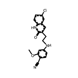 COc1cc(NCCc2cc3cc(Cl)ccc3[nH]c2=O)ccc1C#N